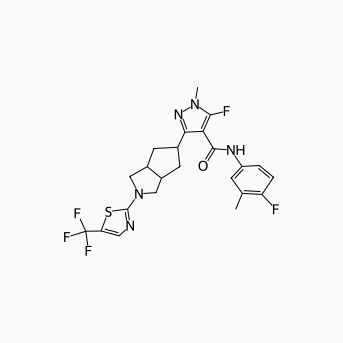 Cc1cc(NC(=O)c2c(C3CC4CN(c5ncc(C(F)(F)F)s5)CC4C3)nn(C)c2F)ccc1F